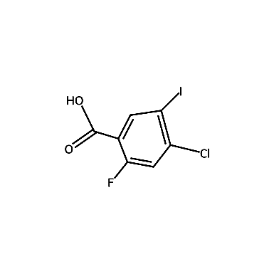 O=C(O)c1cc(I)c(Cl)cc1F